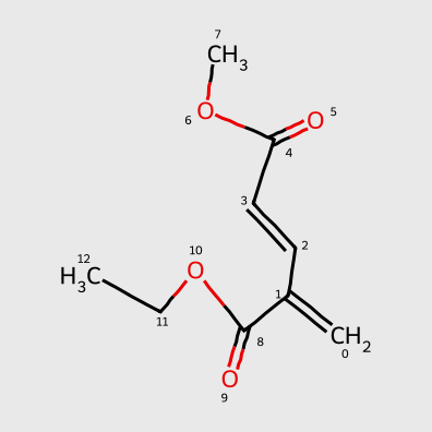 C=C(C=CC(=O)OC)C(=O)OCC